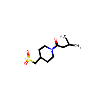 CC(C)CC(=O)N1CCC(C[SH](=O)=O)CC1